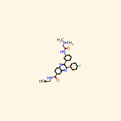 C#CCNC(=O)c1ccc2nc(-c3cccc(NC(=O)CN(C)C)c3)c(-c3ccc(F)cc3)nc2c1